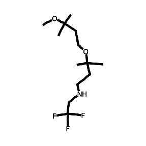 COC(C)(C)CCOC(C)(C)CCNCC(F)(F)F